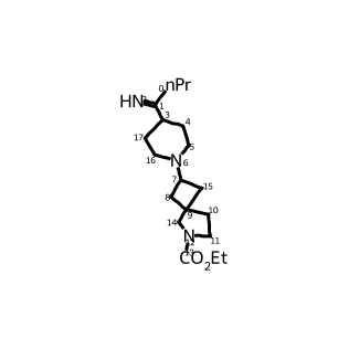 CCCC(=N)C1CCN(C2CC3(CCN(C(=O)OCC)C3)C2)CC1